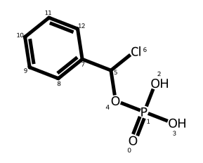 O=P(O)(O)OC(Cl)c1ccccc1